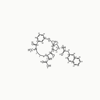 CN1CCC[C@H](NC(=O)O)C(=O)N2C[C@@H](NC(=O)Cc3ccc4ccccc4c3)C[C@H]2COc2cccc(c2)C1=O